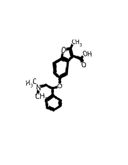 Cc1oc2ccc(OC(CN(C)C)c3ccccc3)cc2c1C(=O)O